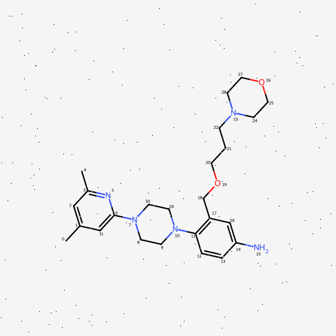 Cc1cc(C)nc(N2CCN(c3ccc(N)cc3COCCCN3CCOCC3)CC2)c1